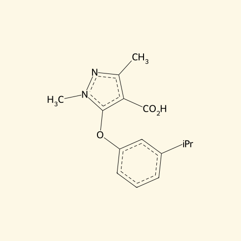 Cc1nn(C)c(Oc2cccc(C(C)C)c2)c1C(=O)O